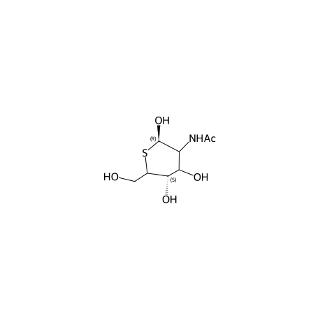 CC(=O)NC1C(O)[C@H](O)C(CO)S[C@H]1O